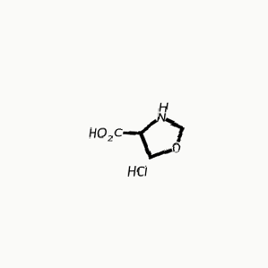 Cl.O=C(O)C1COCN1